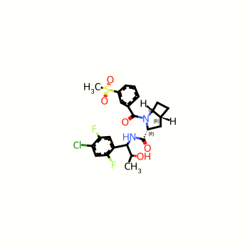 CC(O)C(NC(=O)[C@H]1C[C@H]2CC[C@H]2N1C(=O)c1cccc(S(C)(=O)=O)c1)c1cc(F)c(Cl)cc1F